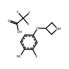 N#Cc1ccc(OC2CNC2)cc1F.O=C(O)C(F)(F)F